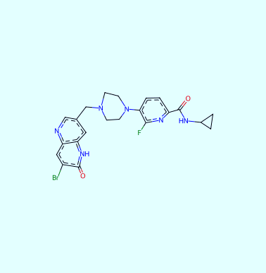 O=C(NC1CC1)c1ccc(N2CCN(Cc3cnc4cc(Br)c(=O)[nH]c4c3)CC2)c(F)n1